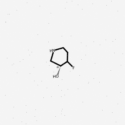 O[C@@H]1CNCCC1F